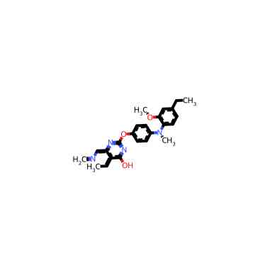 C=N/C=c1/nc(Oc2ccc(N(C)c3ccc(CC)cc3OC)cc2)nc(O)/c1=C/C